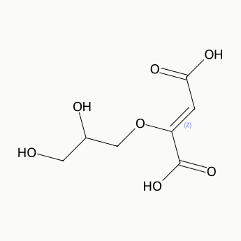 O=C(O)/C=C(\OCC(O)CO)C(=O)O